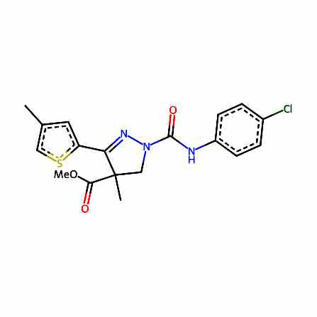 COC(=O)C1(C)CN(C(=O)Nc2ccc(Cl)cc2)N=C1c1cc(C)cs1